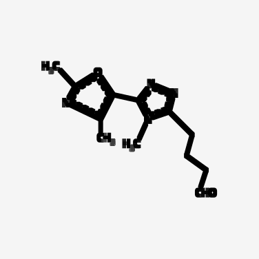 Cc1nc(C)c(-c2nnc(CCCC=O)n2C)o1